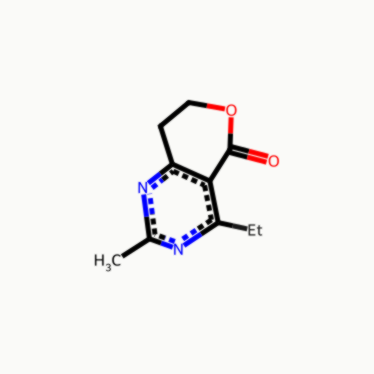 CCc1nc(C)nc2c1C(=O)OCC2